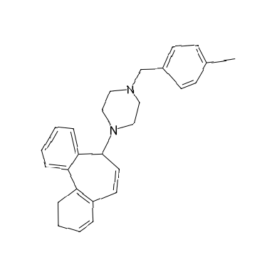 Cc1ccc(CN2CCN(C3C=CC4=C(CCC=C4)c4ccccc43)CC2)cc1